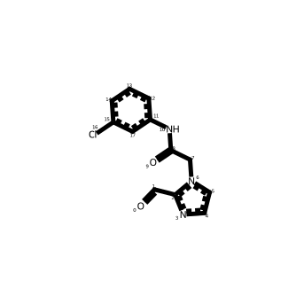 O=Cc1nccn1CC(=O)Nc1cccc(Cl)c1